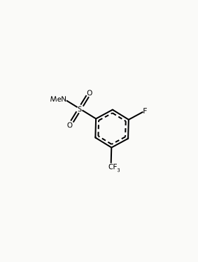 CNS(=O)(=O)c1cc(F)cc(C(F)(F)F)c1